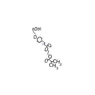 C=C(C)C(=O)OCCOC(=O)/C=C/c1ccc(OCCCCCCCCCCCC)cc1